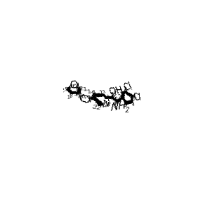 N[C@@H](c1ccc(Cl)c(Cl)c1)[C@H](O)c1ccc(OC2CCOC2)cn1